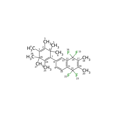 CC1=C(C)C(C)(C)C(c2ccc3c(c2)C(F)(F)C(C)=C(C)C3(F)F)=C(C)C1(C)C